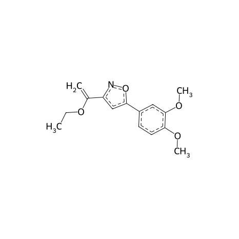 C=C(OCC)c1cc(-c2ccc(OC)c(OC)c2)on1